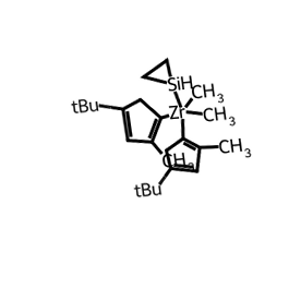 CC1=[C]([Zr]([CH3])([CH3])([C]2=C(C)C=C(C(C)(C)C)C2)[SiH]2CC2)CC(C(C)(C)C)=C1